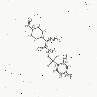 CC(C)(CNC(=O)C(N)C1CCC(C=O)CC1)c1ccc(F)cc1Cl